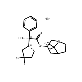 Br.CC(C)C1(C)C2CCN1CC(OC(=O)[C@](O)(c1ccccc1)[C@@H]1CCC(F)(F)C1)C2